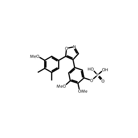 COc1cc(-c2oncc2-c2cc(OC)c(OC)c(OP(=O)(O)O)c2)cc(C)c1C